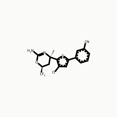 C[C@]1(c2sc(-c3cccc(C#N)c3)cc2Cl)C[C@@H](C(F)(F)F)OC(N)=N1